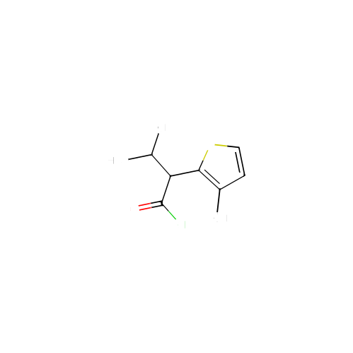 Cc1ccsc1C(C(=O)Cl)C(C)C